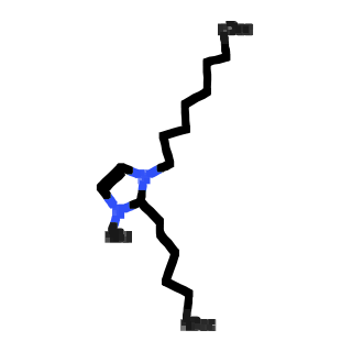 CCCCCCCCCCCCCCCCCN1C=CN(CCCC)C1CCCCCCCCCCCCCCC